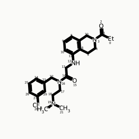 CCC(=O)N1CCc2c(cccc2NCC(=O)N(CCN(C)C)Cc2cccc(C(F)(F)F)c2)C1